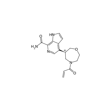 C=CC(=O)N1CCOC[C@H](c2cnc(C(N)=O)c3[nH]ccc23)C1